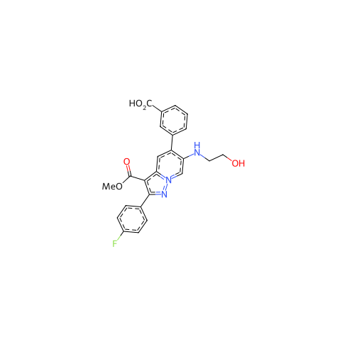 COC(=O)c1c(-c2ccc(F)cc2)nn2cc(NCCO)c(-c3cccc(C(=O)O)c3)cc12